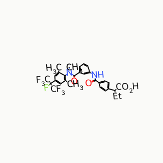 CCC(C(=O)O)c1ccc(C(=O)Nc2cccc(C(=O)N(C)c3c(C)cc(C(F)(C(F)(F)F)C(F)(F)F)cc3C)c2)cc1